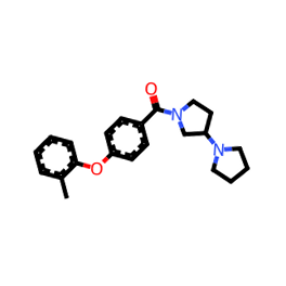 Cc1ccccc1Oc1ccc(C(=O)N2CCC(N3CCCC3)C2)cc1